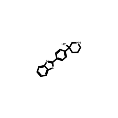 OC1(c2ccc(-c3nc4ccccc4o3)cc2)CCCNC1